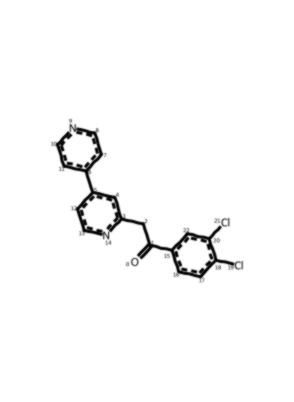 O=C(Cc1cc(-c2ccncc2)ccn1)c1ccc(Cl)c(Cl)c1